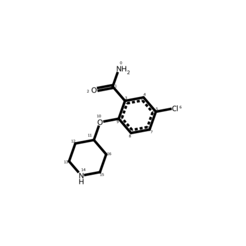 NC(=O)c1cc(Cl)ccc1OC1CCNCC1